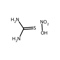 NC(N)=S.O=[N+]([O-])O